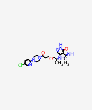 CC(=N)c1c(NC(C)COCCC(=O)N2CCN(c3ccc(Cl)cn3)CC2)cn[nH]c1=O